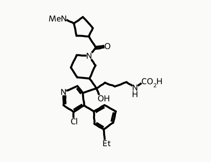 CCc1cccc(-c2c(Cl)cncc2C(O)(CCCNC(=O)O)C2CCCN(C(=O)C3CCC(NC)C3)C2)c1